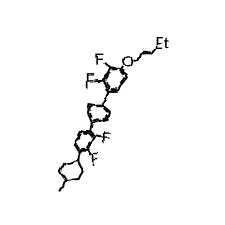 CC/C=C/COc1ccc(-c2ccc(-c3ccc(C4CCC(C)CC4)c(F)c3F)cc2)c(F)c1F